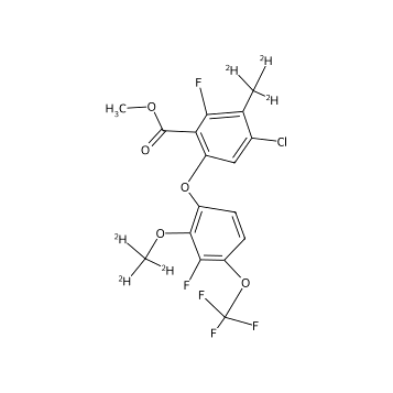 [2H]C([2H])([2H])Oc1c(Oc2cc(Cl)c(C([2H])([2H])[2H])c(F)c2C(=O)OC)ccc(OC(F)(F)F)c1F